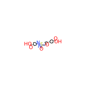 CN1C(=O)/C(=C/c2ccc(-c3ccc(C(=O)O)cc3)o2)S/C1=N/c1ccc(C(=O)O)cc1